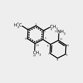 Cc1cc(C)c(C2=CCCC=C2N)c(C)c1